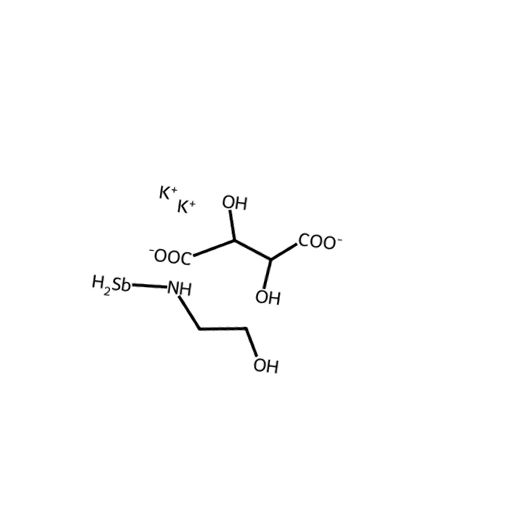 O=C([O-])C(O)C(O)C(=O)[O-].OCC[NH][SbH2].[K+].[K+]